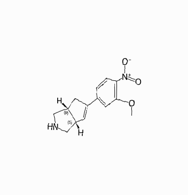 COc1cc(C2=C[C@@H]3CNC[C@@H]3C2)ccc1[N+](=O)[O-]